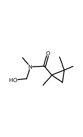 CN(CO)C(=O)C1(C)CC1(C)C